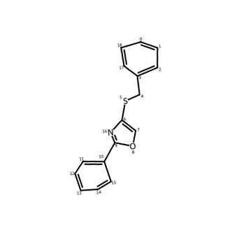 c1ccc(CSc2coc(-c3ccccc3)n2)cc1